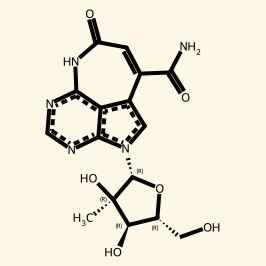 C[C@@]1(O)[C@H](O)[C@@H](CO)O[C@H]1n1cc2c3c(ncnc31)NC(=O)C=C2C(N)=O